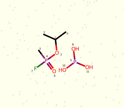 CC(C)OP(C)(=O)F.OP(O)O